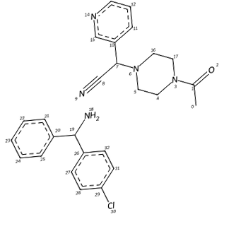 CC(=O)N1CCN(C(C#N)c2cccnc2)CC1.NC(c1ccccc1)c1ccc(Cl)cc1